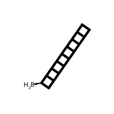 B[C@@H]1CC2C3C4C5C6C7C8CCC8C7C6C5C4C3C21